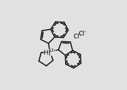 C1=C[CH]([Hf+2]2([CH]3C=Cc4ccccc43)[CH2]CC[CH2]2)c2ccccc21.[Cl-].[Cl-]